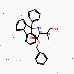 C[C@H](CO)[C@H](NC1(c2ccccc2)c2ccccc2-c2ccccc21)C(=O)OCc1ccccc1